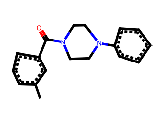 Cc1cccc(C(=O)N2CCN(c3cc[c]cc3)CC2)c1